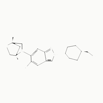 OC[C@H]1CC[C@H](n2cc3cc(Br)c(N4C[C@@H]5C[C@H]4CO5)cc3n2)CC1